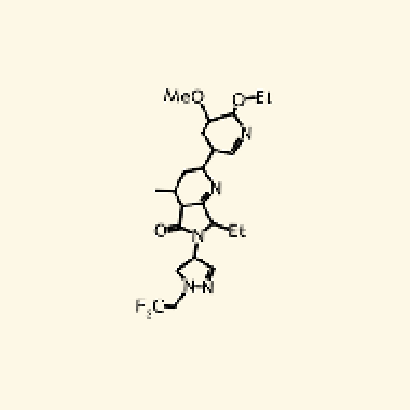 CCOC1N=CC(C2CC(C)C3C(=O)N(C4C=NN(CC(F)(F)F)C4)C(CC)C3=N2)CC1OC